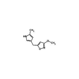 COc1cc(Cc2c[nH]c(C)c2)on1